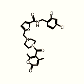 Cc1cc(=O)oc(C)c1C(=O)N1CCN(Cc2ccc(C(=O)NCc3ccc(Cl)cc3Cl)s2)CC1